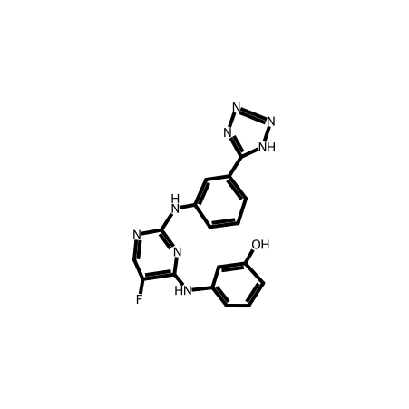 Oc1cccc(Nc2nc(Nc3cccc(-c4nnn[nH]4)c3)ncc2F)c1